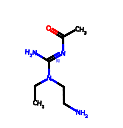 CCN(CCN)/C(N)=N/C(C)=O